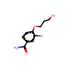 NC(=O)c1ccc(OCCCO)c(Cl)c1